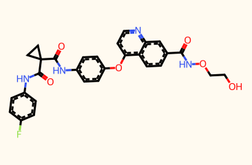 O=C(NOCCO)c1ccc2c(Oc3ccc(NC(=O)C4(C(=O)Nc5ccc(F)cc5)CC4)cc3)ccnc2c1